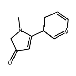 CN1CC(=O)C=C1C1C=NC=CC1